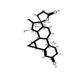 CC1[C@@H](C)C2C3C4CC4C4=CC(=O)CC[C@]4(C)C3CC[C@]2(C)[C@]12CCC(=O)O2